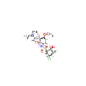 COc1ccc(NS(=O)(=O)c2cc(Cl)cc(Cl)c2O)c2c1C[C@@H](N(C)C)CO2